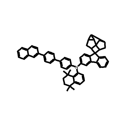 CC1(C)CCC(C)(C)c2c(N(c3ccc(-c4ccc(-c5ccc6ccccc6c5)cc4)cc3)c3ccc4c(c3)-c3ccccc3C43C4CC5CC46C4C(CC36)C54)cccc21